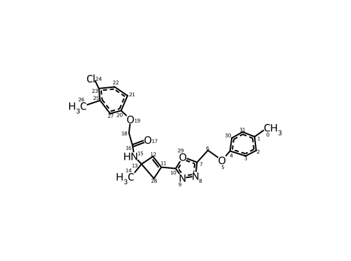 Cc1ccc(OCc2nnc(C3=CC(C)(NC(=O)COc4ccc(Cl)c(C)c4)C3)o2)cc1